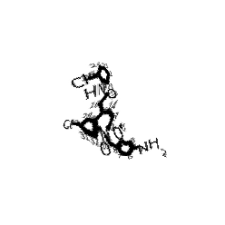 COc1cc(N)ccc1C(=O)N1CCCC(CC(=O)Nc2ccccc2Cl)c2cc(Cl)ccc21